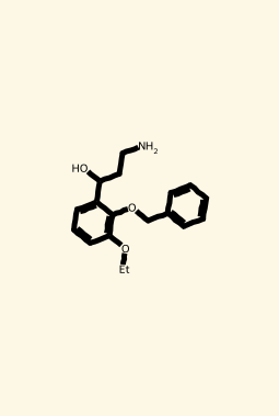 CCOc1cccc(C(O)CCN)c1OCc1ccccc1